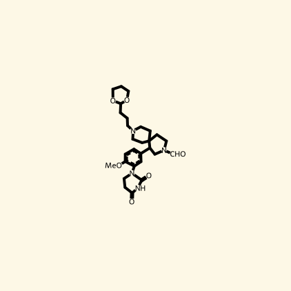 COc1ccc(C2CN(C=O)CCC23CCN(CCCC2OCCCO2)CC3)cc1N1CCC(=O)NC1=O